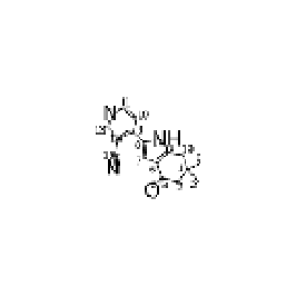 CC1(C)CC(=O)c2cc(-c3ccncc3C#N)[nH]c2C1